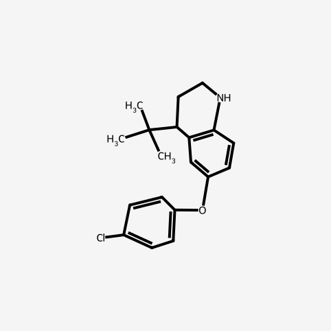 CC(C)(C)C1CCNc2ccc(Oc3ccc(Cl)cc3)cc21